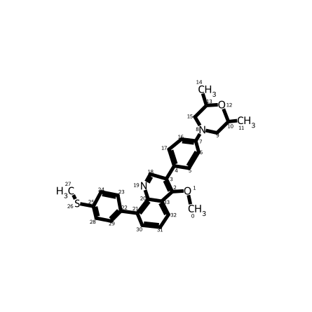 COc1c(-c2ccc(N3CC(C)OC(C)C3)cc2)cnc2c(-c3ccc(SC)cc3)cccc12